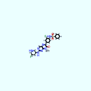 CC(C)n1c(=O)c(-c2ccc(NS(=O)(=O)c3ccccc3)c(F)c2)nc2cnc(N[C@@H]3CNC[C@@H](F)C3)nc21